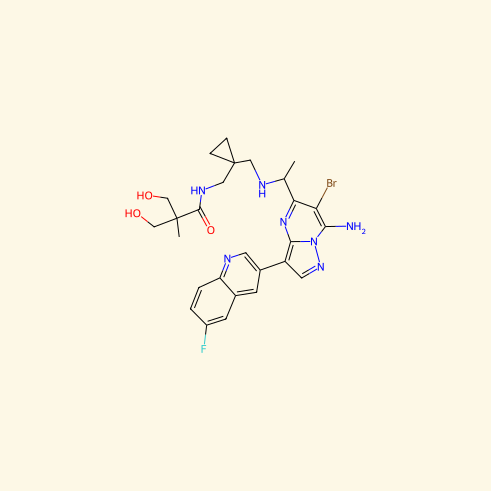 CC(NCC1(CNC(=O)C(C)(CO)CO)CC1)c1nc2c(-c3cnc4ccc(F)cc4c3)cnn2c(N)c1Br